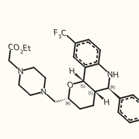 CCOC(=O)CN1CCN(C[C@H]2CC[C@@H]3[C@H](O2)c2cc(C(F)(F)F)ccc2N[C@H]3c2ccccc2)CC1